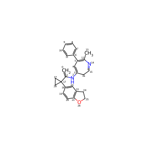 C=C(NC1=CC(c2ccccc2)=C(C)N=CC1)C1(c2ccc3c(c2)CCO3)CC1